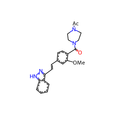 COc1cc(C=Cc2n[nH]c3ccccc23)ccc1C(=O)N1CCN(C(C)=O)CC1